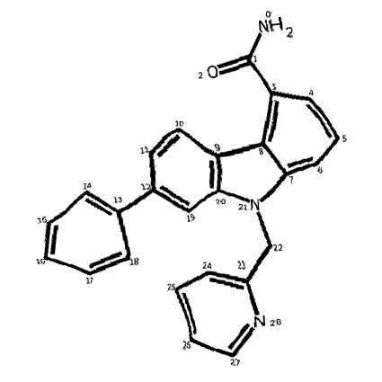 NC(=O)c1cccc2c1c1[c]cc(-c3ccccc3)cc1n2Cc1ccccn1